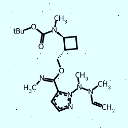 C=CN(C)N(C)n1nccc1/C(=N\C)OC[C@H]1CC[C@@H]1N(C)C(=O)OC(C)(C)C